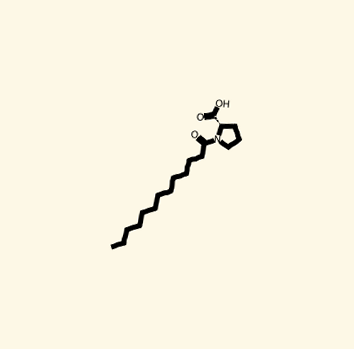 CCCCCCCCCCCCC(=O)N1CCC[C@H]1C(=O)O